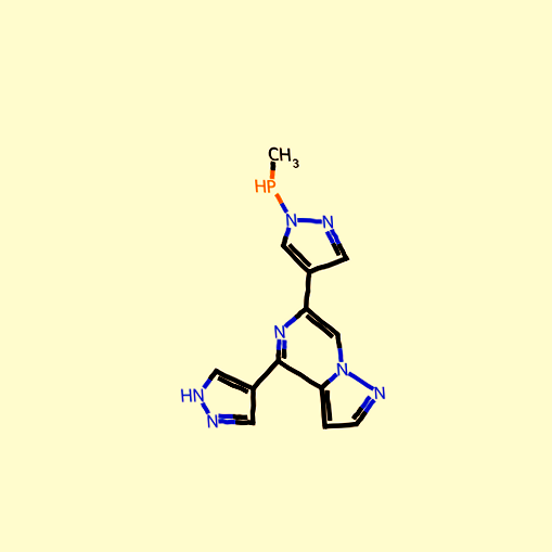 CPn1cc(-c2cn3nccc3c(-c3cn[nH]c3)n2)cn1